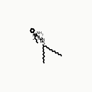 CCCCCCCCCCCCC(CCCCCCCCCC)CSc1nsc(/N=N/c2c([C@H](C)CCC)nn(-c3ccccc3)c2N)n1